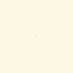 CCc1[c]ccc(C2CC2)n1